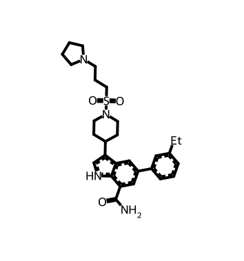 CCc1cccc(-c2cc(C(N)=O)c3[nH]cc(C4CCN(S(=O)(=O)CCCN5CCCC5)CC4)c3c2)c1